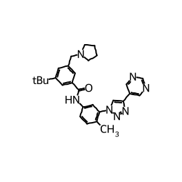 Cc1ccc(NC(=O)c2cc(CN3CCCC3)cc(C(C)(C)C)c2)cc1-n1cc(-c2cncnc2)nn1